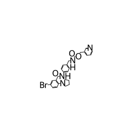 O=C(NCc1ccc(NC(=O)c2cc(Br)ccc2N2CCCC2)cc1)OCc1cccnc1